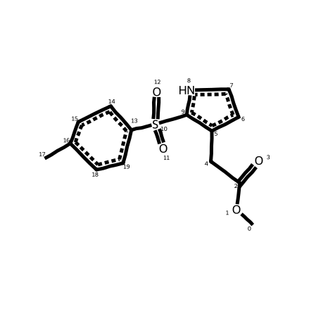 COC(=O)Cc1cc[nH]c1S(=O)(=O)c1ccc(C)cc1